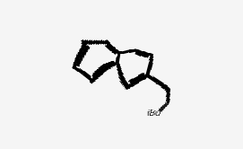 [CH2]CC(C)Cc1ccc2ccccc2c1